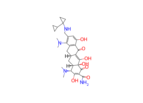 CN(C)c1c(CNC2(C3CC3)CC2)cc(O)c2c1C[C@H]1C[C@H]3[C@H](N(C)C)C(O)=C(C(N)=O)C(=O)[C@@]3(O)C(O)=C1C2=O